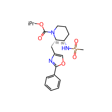 CC(C)OC(=O)N1CCC[C@H](NS(C)(=O)=O)[C@@H]1Cc1coc(-c2ccccc2)n1